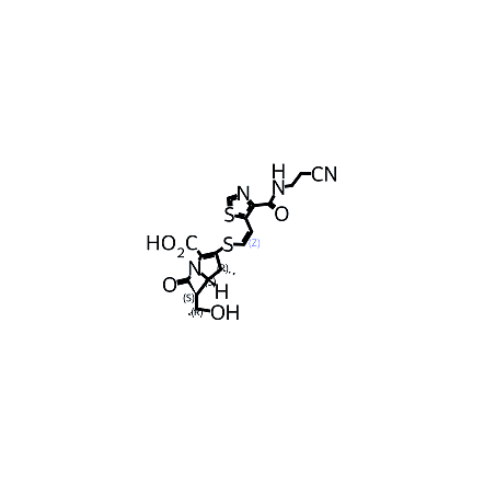 C[C@@H](O)[C@H]1C(=O)N2C(C(=O)O)=C(S/C=C\c3scnc3C(=O)NCCC#N)[C@H](C)[C@H]12